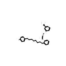 COc1ccc(CCCCCCCCc2ccccc2[C@@H]2O[C@H]2C(=O)Oc2cccc(C(F)(F)F)c2)cc1